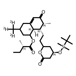 [2H]C([2H])([2H])C1CC2=CC(=O)[C@H](C)[C@H](CCC3C[C@@H](O[Si](C)(C)C(C)(C)C)CC(=O)O3)[C@H]2C(OC(=O)[C@@H](C)CC)C1